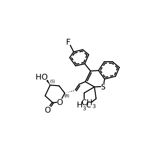 CCC1(CC)Sc2ccccc2C(c2ccc(F)cc2)=C1C=C[C@H]1C[C@H](O)CC(=O)O1